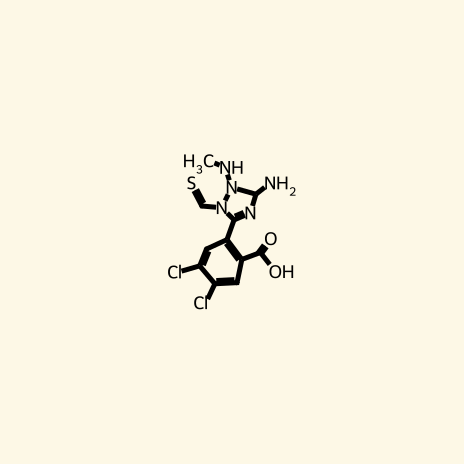 CNN1C(N)N=C(c2cc(Cl)c(Cl)cc2C(=O)O)N1C=S